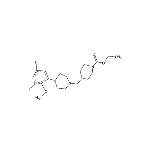 CCOC(=O)N1CCC(CN2CCC(c3cc(F)cc(F)c3OC)CC2)CC1